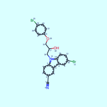 N#Cc1ccc2c(c1)c1cc(Br)ccc1n2CC(O)COc1ccc(Br)cc1